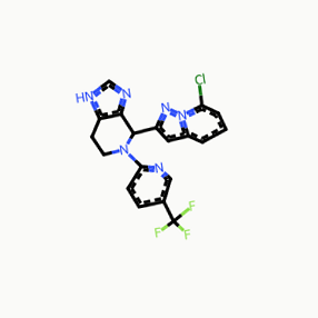 FC(F)(F)c1ccc(N2CCc3[nH]cnc3C2c2cc3cccc(Cl)n3n2)nc1